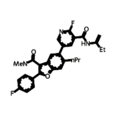 C=C(CC)NC(=O)c1cc(-c2cc3c(C(=O)NC)c(-c4ccc(F)cc4)oc3cc2CCC)cnc1F